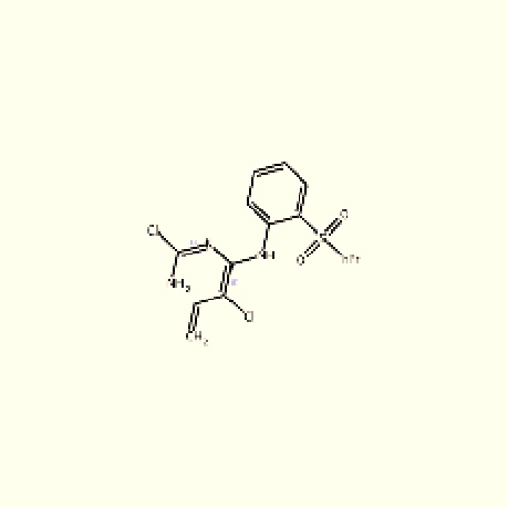 C=C/C(Cl)=C(\N=C(/N)Cl)Nc1ccccc1S(=O)(=O)CCC